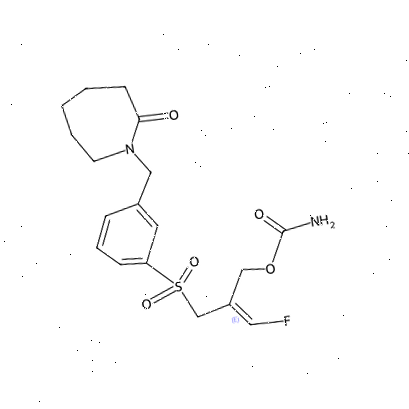 NC(=O)OC/C(=C\F)CS(=O)(=O)c1cccc(CN2CCCCCC2=O)c1